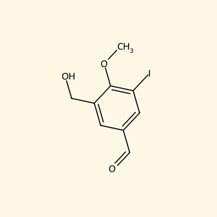 COc1c(I)cc(C=O)cc1CO